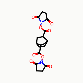 O=C(ON1C(=O)CCC1=O)C1CC2CCC1CC2C(=O)ON1C(=O)CCC1=O